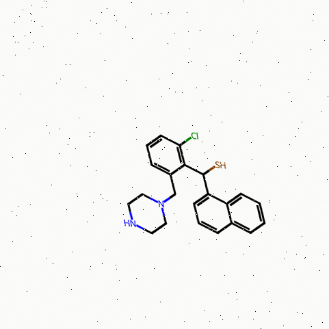 SC(c1c(Cl)cccc1CN1CCNCC1)c1cccc2ccccc12